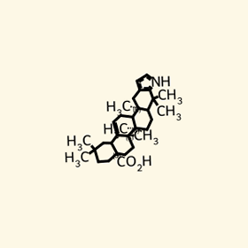 CC1(C)CC[C@]2(C(=O)O)CC[C@]3(C)C(=CCC4[C@@]5(C)Cc6cc[nH]c6C(C)(C)C5CC[C@]43C)C2C1